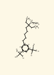 CCC(CC)(CCCCCc1cc(C(F)(F)F)cc(C(F)(F)F)c1)O[SiH3]